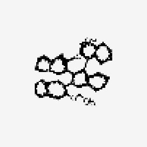 OCOc1cc2ccccc2cc1-c1cc2ccccc2c(-c2cccc3ccccc23)c1-c1cc2ccccc2cc1OCO